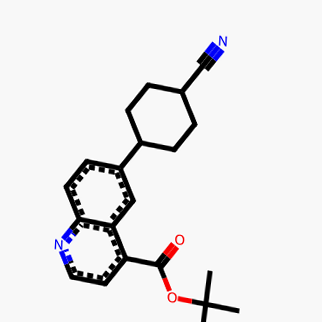 CC(C)(C)OC(=O)c1ccnc2ccc(C3CCC(C#N)CC3)cc12